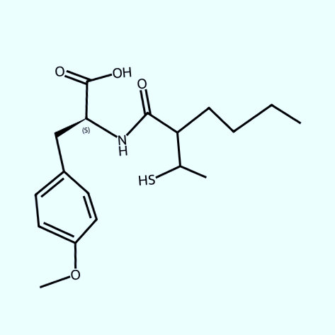 CCCCC(C(=O)N[C@@H](Cc1ccc(OC)cc1)C(=O)O)C(C)S